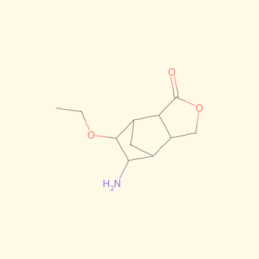 CCOC1C(N)C2CC1C1C(=O)OCC21